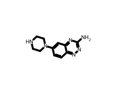 Nc1nnc2ccc(N3CCNCC3)cc2n1